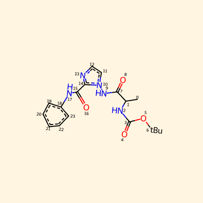 CC(NC(=O)OC(C)(C)C)C(=O)Nn1ccnc1C(=O)Nc1ccccc1